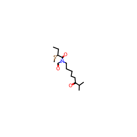 CCC(SC)C(=O)N(C=O)CCCCCC(=O)C(C)C